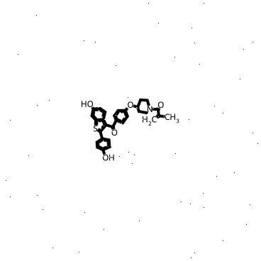 C=C(C)C(=O)N1CCC(Oc2ccc(C(=O)c3c(-c4ccc(O)cc4)sc4cc(O)ccc34)cc2)CC1